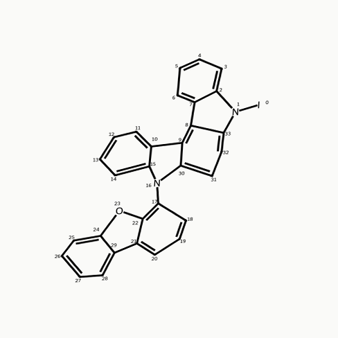 In1c2ccccc2c2c3c4ccccc4n(-c4cccc5c4oc4ccccc45)c3ccc21